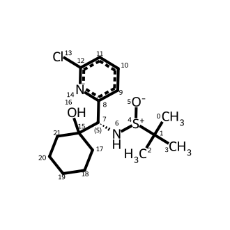 CC(C)(C)[S+]([O-])N[C@@H](c1cccc(Cl)n1)C1(O)CCCCC1